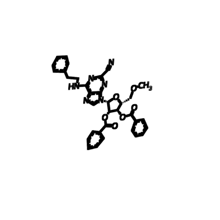 COC[C@H]1O[C@@H](n2cnc3c(NCCc4ccccc4)nc(C#N)nc32)[C@H](OC(=O)c2ccccc2)[C@@H]1OC(=O)c1ccccc1